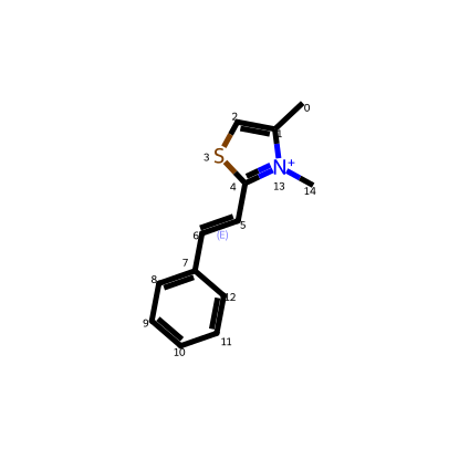 Cc1csc(/C=C/c2ccccc2)[n+]1C